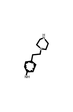 [NH]c1ccc(CCN2CCNCC2)cc1